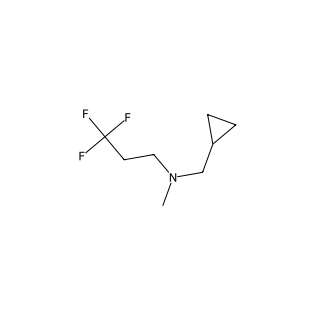 CN(CCC(F)(F)F)CC1CC1